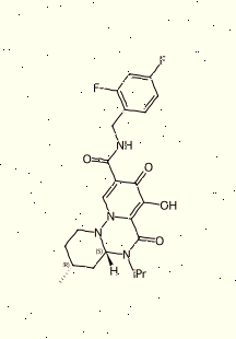 CC(C)N1C(=O)c2c(O)c(=O)c(C(=O)NCc3ccc(F)cc3F)cn2N2CC[C@@H](C)C[C@@H]12